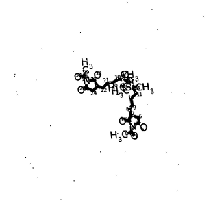 CC(=O)N1C(=O)CC(CCCC[Si](C)(C)O[Si](C)(C)CCCCC2CC(=O)N(C(C)=O)C2=O)C1=O